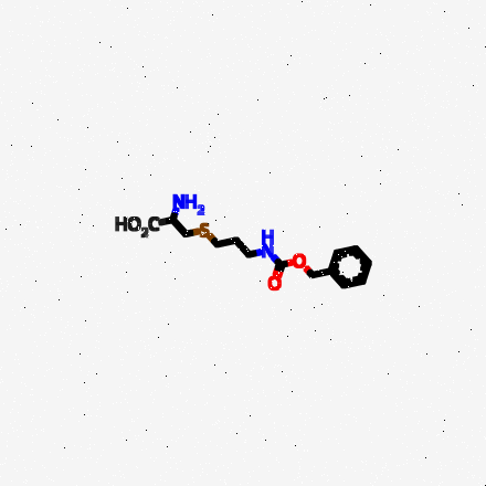 NC(CSCCCNC(=O)OCc1ccccc1)C(=O)O